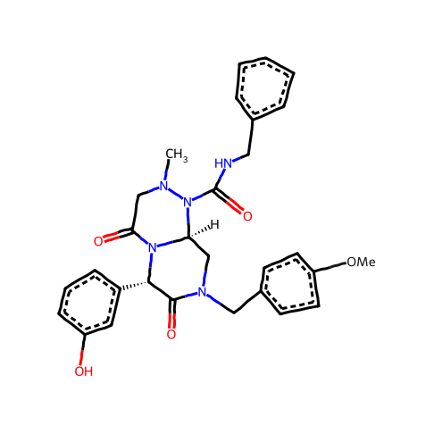 COc1ccc(CN2C[C@H]3N(C(=O)CN(C)N3C(=O)NCc3ccccc3)[C@@H](c3cccc(O)c3)C2=O)cc1